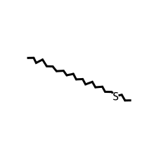 CCCCCCCCCCCCCCCCCCSCCC